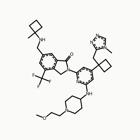 COCCN1CCC(Nc2cc(C3(Cc4nncn4C)CCC3)cc(N3Cc4c(cc(CNC5(C)CCC5)cc4C(F)(F)F)C3=O)n2)CC1